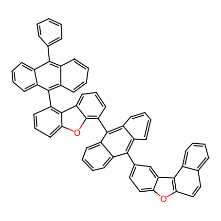 c1ccc(-c2c3ccccc3c(-c3cccc4oc5c(-c6c7ccccc7c(-c7ccc8oc9ccc%10ccccc%10c9c8c7)c7ccccc67)cccc5c34)c3ccccc23)cc1